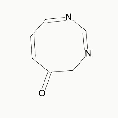 O=C1C=CC=NC=NC1